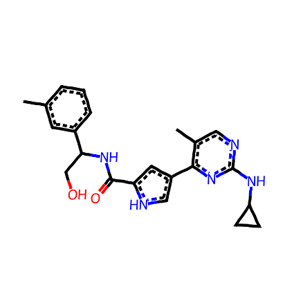 Cc1cccc(C(CO)NC(=O)c2cc(-c3nc(NC4CC4)ncc3C)c[nH]2)c1